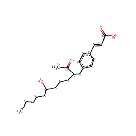 CCCCCC(O)CCCC(Cc1ccc(/C=C/C(=O)O)cc1)C(C)=O